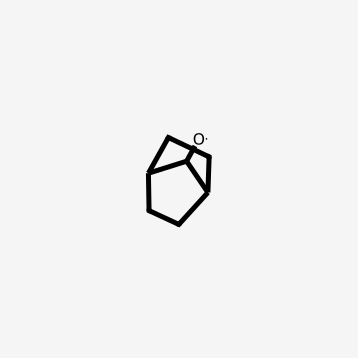 [O]C1C2CCC1CC2